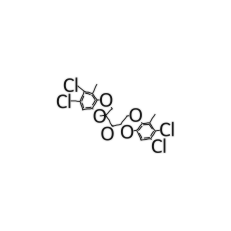 Cc1c(Cl)c(Cl)cc2c1OCC(C(=O)C1COc3c(cc(Cl)c(Cl)c3C)O1)O2